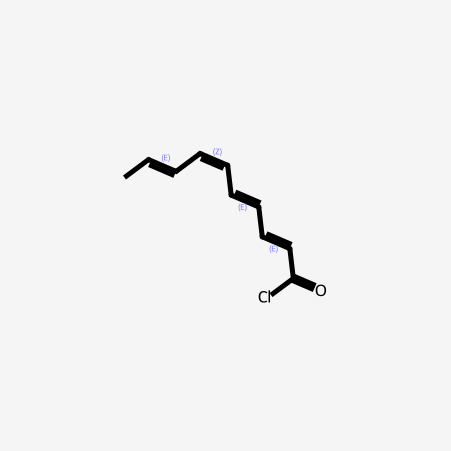 C/C=C/C=C\C=C\C=C\C(=O)Cl